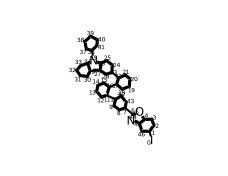 Ic1ccc2oc(-c3ccc(-c4ccccc4-c4ccccc4-c4ccc5c(c4)c4ccccc4n5-c4ccccc4)cc3)nc2c1